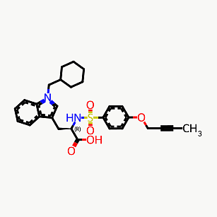 CC#CCOc1ccc(S(=O)(=O)N[C@H](Cc2cn(CC3CCCCC3)c3ccccc23)C(=O)O)cc1